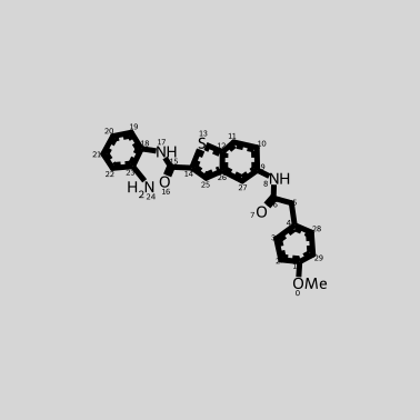 COc1ccc(CC(=O)Nc2ccc3sc(C(=O)Nc4ccccc4N)cc3c2)cc1